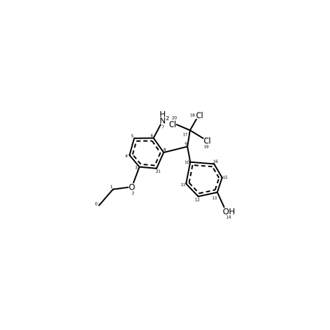 CCOc1ccc(N)c(C(c2ccc(O)cc2)C(Cl)(Cl)Cl)c1